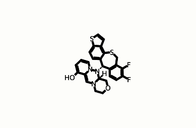 OC1=CC=CN2C1=CN1CCOC[C@H]1N2[C@H]1c2ccc(F)c(F)c2CSc2c1ccc1sccc21